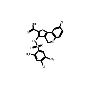 Cc1cc(S(=O)(=O)Nc2c(C(=O)O)sc3c2CSc2ccc(Cl)cc2-3)c(C)cc1Cl